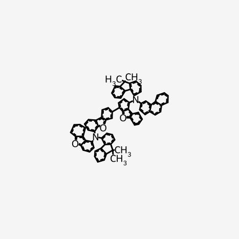 CC1(C)c2ccccc2-c2c(N(c3cccc4c3oc3cc(-c5ccc(N(c6ccc7ccc8ccccc8c7c6)c6cccc7c6-c6ccccc6C7(C)C)c6c5oc5ccccc56)ccc34)c3cccc4oc5ccccc5c34)cccc21